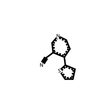 N#Cc1cnccc1-c1cccs1